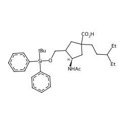 CCC(CC)CCC1(C(=O)O)CC(CO[Si](c2ccccc2)(c2ccccc2)C(C)(C)C)[C@H](NC(C)=O)C1